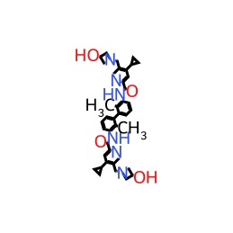 Cc1c(NC(=O)c2cc(C3CC3)c(CN3CC(O)C3)cn2)cccc1-c1cccc(NC(=O)c2cc(C3CC3)c(CN3CC(O)C3)cn2)c1C